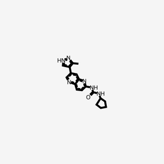 Cc1n[nH]cc1-c1cnc2ccc(NC(=O)NC3CCCC3)nc2c1